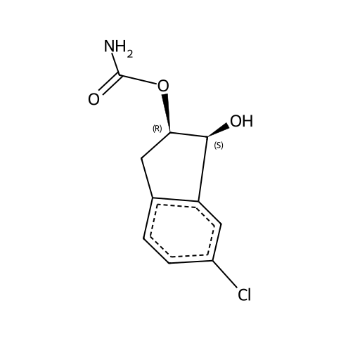 NC(=O)O[C@@H]1Cc2ccc(Cl)cc2[C@@H]1O